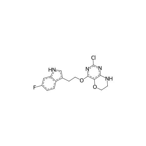 Fc1ccc2c(CCOc3nc(Cl)nc4c3OCCN4)c[nH]c2c1